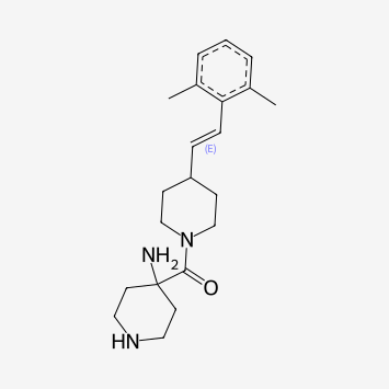 Cc1cccc(C)c1/C=C/C1CCN(C(=O)C2(N)CCNCC2)CC1